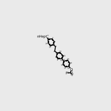 CCCCCCCc1ccc(CCc2ccc(-c3ccc(OC(F)F)cc3)cc2)cc1